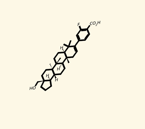 CC1(C)C(c2ccc(C(=O)O)c(F)c2)=CC[C@]2(C)[C@H]3CC[C@@H]4[C@H]5CCC[C@]5(CO)CC[C@@]4(C)[C@]3(C)CC[C@@H]12